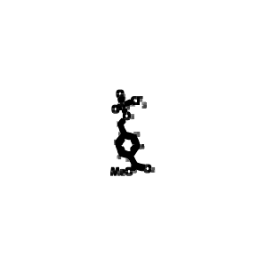 COC(=O)c1ccc(COS(=O)(=O)C(F)(F)F)cc1